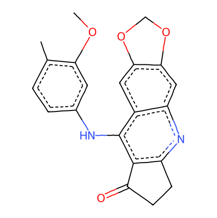 COc1cc(Nc2c3c(nc4cc5c(cc24)OCO5)CCC3=O)ccc1C